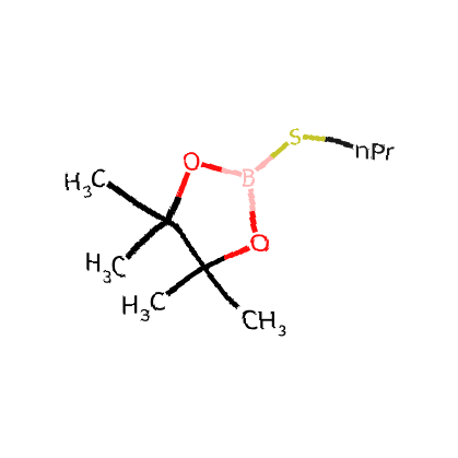 CCCSB1OC(C)(C)C(C)(C)O1